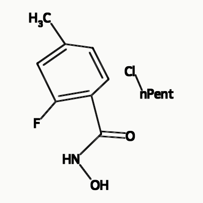 CCCCCCl.Cc1ccc(C(=O)NO)c(F)c1